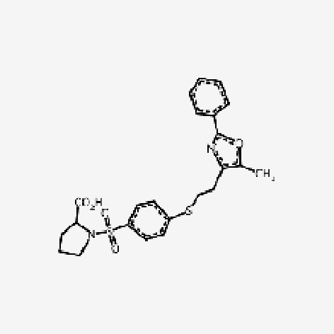 Cc1oc(-c2ccccc2)nc1CCSc1ccc(S(=O)(=O)N2CCCC2C(=O)O)cc1